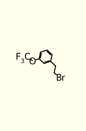 FC(F)(F)Oc1cccc(CCBr)c1